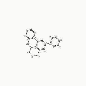 Brc1ccccc1-c1cc(-c2ccccc2)nc2c1CCCC2